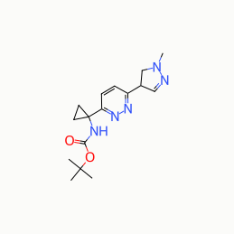 CN1CC(c2ccc(C3(NC(=O)OC(C)(C)C)CC3)nn2)C=N1